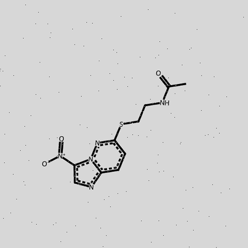 CC(=O)NCCSc1ccc2ncc([N+](=O)[O-])n2n1